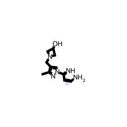 Cc1nn(C(=N)/C=C\N)cc1CN1CC(O)C1